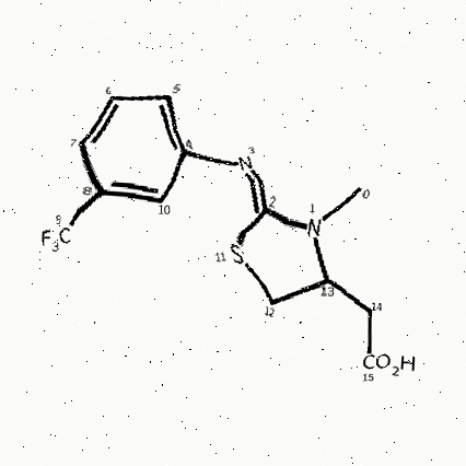 CN1C(=Nc2cccc(C(F)(F)F)c2)SCC1CC(=O)O